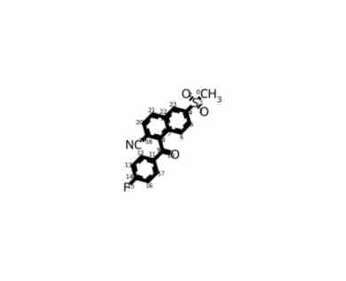 CS(=O)(=O)c1ccc2c(C(=O)c3ccc(F)cc3)c(C#N)ccc2c1